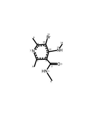 CNC(=O)c1c(C)nc(C)c(Br)c1NC